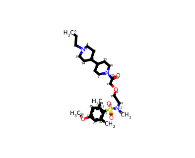 CCCN1CCC(C2CCN(C(=O)COCCN(C)S(=O)(=O)c3c(C)cc(OC)cc3C)CC2)CC1